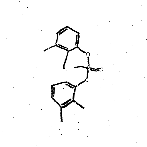 Cc1cccc(OP(C)(=O)Oc2cccc(C)c2C)c1C